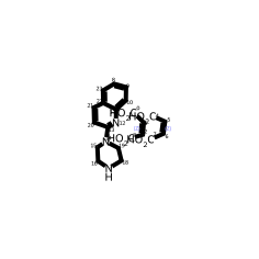 O=C(O)/C=C\C(=O)O.O=C(O)/C=C\C(=O)O.c1ccc2nc(N3CCNCC3)ccc2c1